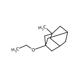 [CH2]C12CC3CC(C1)CC(OCC)(C3)C2